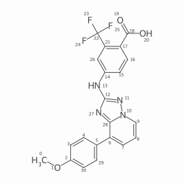 COc1ccc(-c2cccn3nc(Nc4ccc(C(=O)O)c(C(F)(F)F)c4)nc23)cc1